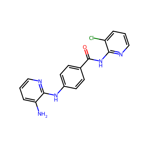 Nc1cccnc1Nc1ccc(C(=O)Nc2ncccc2Cl)cc1